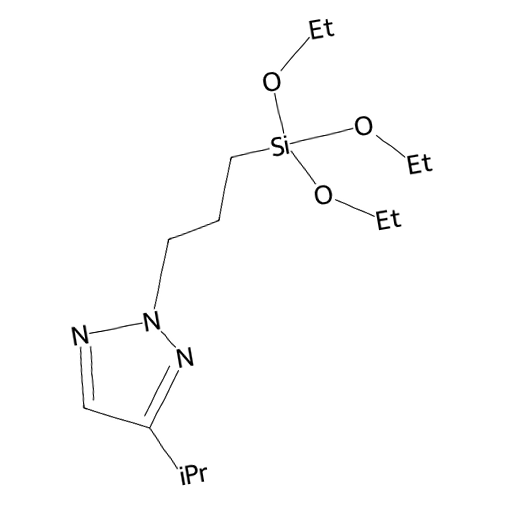 CCO[Si](CCCn1ncc(C(C)C)n1)(OCC)OCC